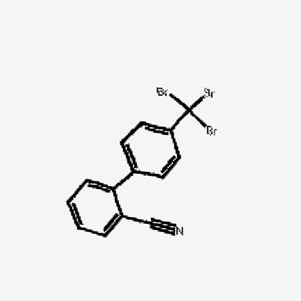 N#Cc1ccccc1-c1ccc(C(Br)(Br)Br)cc1